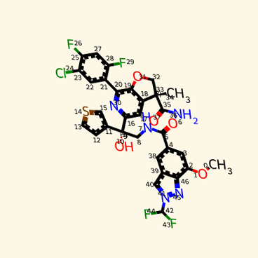 COc1cc(C(=O)NC[C@@](O)(c2ccsc2)c2cc3c(c(-c4cc(Cl)c(F)cc4F)n2)OC[C@]3(C)C(N)=O)cc2cn(C(F)F)nc12